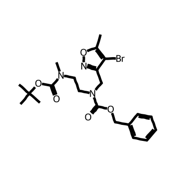 Cc1onc(CN(CCN(C)C(=O)OC(C)(C)C)C(=O)OCc2ccccc2)c1Br